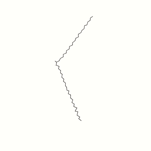 CCCCCCCCCCCCCCCCCCCCCCCCCCC[CH]C(C)CCCCCCCCCCCCCCCCCCCCCCC